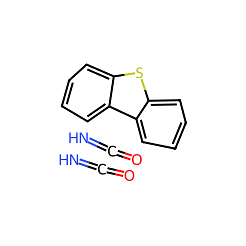 N=C=O.N=C=O.c1ccc2c(c1)sc1ccccc12